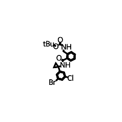 CC(C)(C)OC(=O)NCc1ccccc1C(=O)NC1(c2cc(Cl)cc(Br)c2)CC1